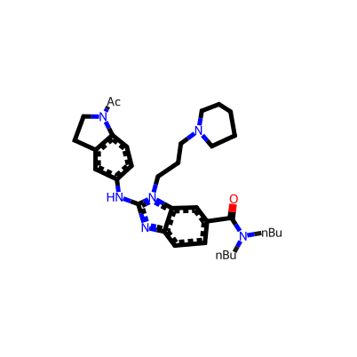 CCCCN(CCCC)C(=O)c1ccc2nc(Nc3ccc4c(c3)CCN4C(C)=O)n(CCCN3CCCCC3)c2c1